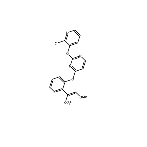 COC=C(C(=O)O)c1ccccc1Oc1ccnc(Oc2cccnc2Cl)n1